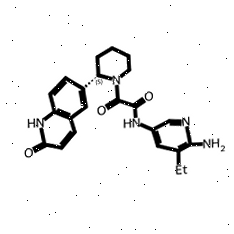 CCc1cc(NC(=O)C(=O)N2CCCC[C@H]2c2ccc3[nH]c(=O)ccc3c2)cnc1N